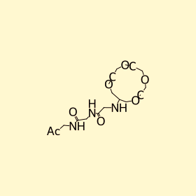 CC(=O)CNC(=O)CNC(=O)CNC1COCCOCCOCCOC1